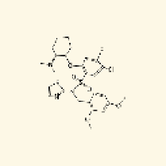 COc1ccc(CN(c2nccs2)S(=O)(=O)c2cc(Cl)c(F)cc2OC2CCCC[C@@H]2N(C)C)c(OC)c1